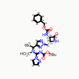 CC(C)(C)OC(=O)N=C(N(C(=O)O)C(c1cnn(C[C@H]2NC(=O)[C@H]2NC(=O)OCc2ccccc2)n1)C(C)(C)C)n1cccn1